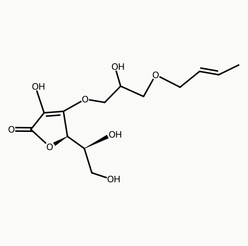 C/C=C/COCC(O)COC1=C(O)C(=O)O[C@@H]1[C@@H](O)CO